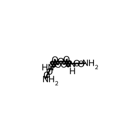 NCCOCCOCCNc1ccc2c3c(cccc13)C(=O)N(CCOCCN1C(=O)c3cccc4c(NCCOCCOCCN)ccc(c34)C1=O)C2=O